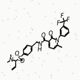 C=CC(N(C)C)S(=O)(=O)c1ccc(CNC(=O)c2ccc(C)n(-c3cccc(C(F)(F)F)c3)c2=O)cc1